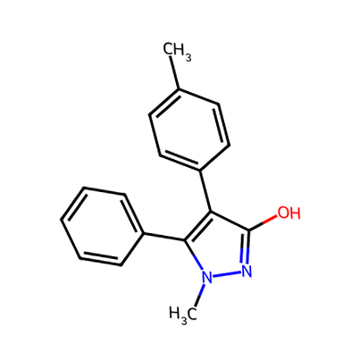 Cc1ccc(-c2c(O)nn(C)c2-c2ccccc2)cc1